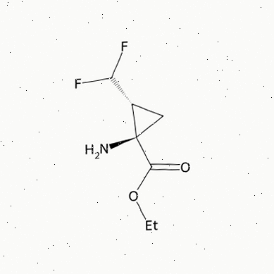 CCOC(=O)[C@@]1(N)C[C@H]1C(F)F